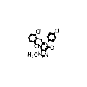 Cn1cnc2c(=O)n(-c3ccc(Cl)cc3)c(Cc3c(Cl)cccc3Cl)nc21